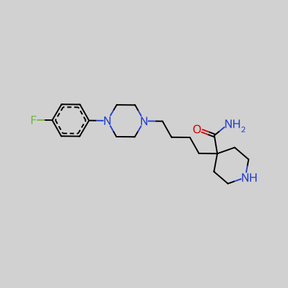 NC(=O)C1(CCCCN2CCN(c3ccc(F)cc3)CC2)CCNCC1